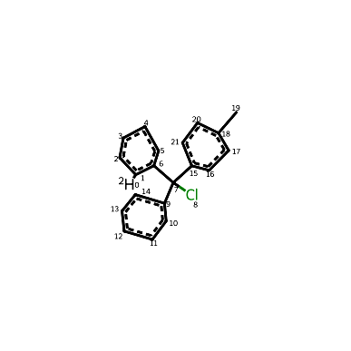 [2H]c1ccccc1C(Cl)(c1ccccc1)c1ccc(C)cc1